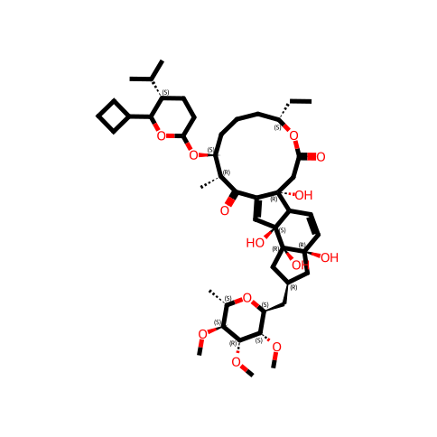 CC[C@H]1CCC[C@H](OC2CC[C@@H](C(C)C)C(C3CCC3)O2)[C@@H](C)C(=O)C2=C[C@]3(O)C(C=C[C@]4(O)C[C@@H](C[C@@H]5O[C@@H](C)[C@H](OC)[C@@H](OC)[C@H]5OC)C[C@@]43O)[C@]2(O)CC(=O)O1